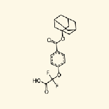 O=C(OC12CC3CC(CC(C3)C1)C2)c1ccc(OC(F)(F)C(=O)O)cc1